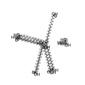 O=C(O)CCCCCCCCCCCCCCCCCOC(CCCCCCCCCCCCCCCCCC(=O)O)(CCCCCCCCCCCCCCCCCC(=O)O)C(CO)(CO)C(CCCCCCCCCCCCCCCCCC(=O)O)(CCCCCCCCCCCCCCCCCC(=O)O)OCCCCCCCCCCCCCCCCCC(=O)O.OCC(CO)(CO)CO